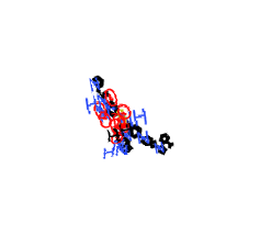 CC(C)c1ccccc1[C@@H]1CCCN1C1CC2(CCN(c3ccc(C(=O)NS(=O)(=O)c4cc5c(c([N+](=O)[O-])c4)N[C@@H](Cc4ccccn4)CO5)c(N4c5cc6cc[nH]c6nc5O[C@@H]5COC[C@H]54)c3)CC2)C1